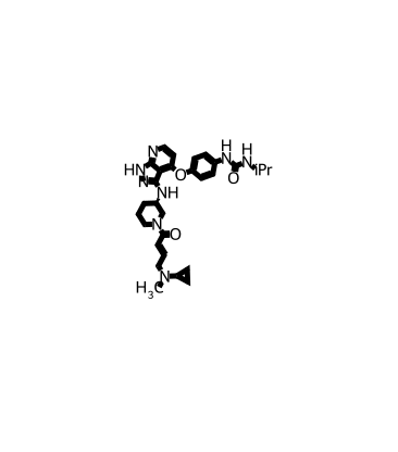 CC(C)NC(=O)Nc1ccc(Oc2ccnc3[nH]nc(N[C@@H]4CCCN(C(=O)C=CCN(C)C5CC5)C4)c23)cc1